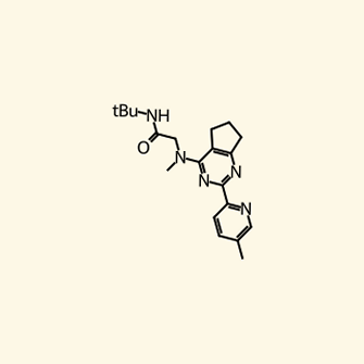 Cc1ccc(-c2nc3c(c(N(C)CC(=O)NC(C)(C)C)n2)CCC3)nc1